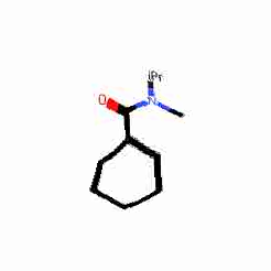 CC(C)N(C)C(=O)C1CCCCC1